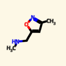 CNCc1cc(C)no1